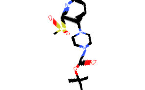 CC(C)(C)OC(=O)N1CCN(c2cccnc2S(C)(=O)=O)CC1